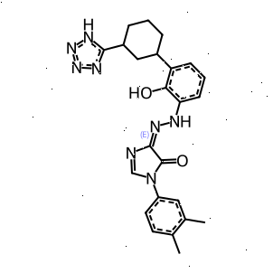 Cc1ccc(N2C=N/C(=N/Nc3cccc(C4CCCC(c5nnn[nH]5)C4)c3O)C2=O)cc1C